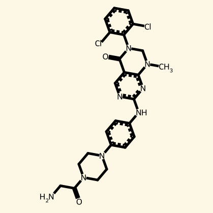 CN1CN(c2c(Cl)cccc2Cl)C(=O)c2cnc(Nc3ccc(N4CCN(C(=O)CN)CC4)cc3)nc21